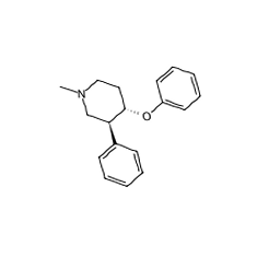 CN1CC[C@H](Oc2ccccc2)[C@@H](c2ccccc2)C1